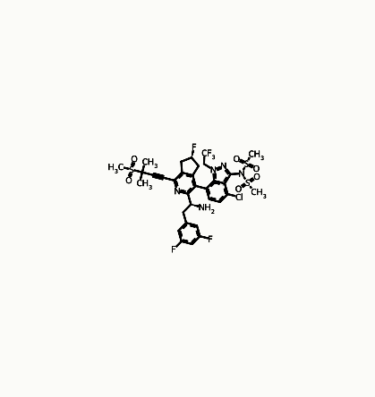 CC(C)(C#Cc1nc([C@@H](N)Cc2cc(F)cc(F)c2)c(-c2ccc(Cl)c3c(N(S(C)(=O)=O)S(C)(=O)=O)nn(CC(F)(F)F)c23)c2c1C[C@@H](F)C2)S(C)(=O)=O